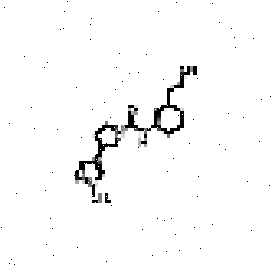 Cn1cc(C2CCN(C(=O)N[C@@H]3CCCC(CCC#N)C3)C2)cn1